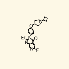 CCc1nc2cnc(F)cc2c(=O)n1-c1ccc(OC2CCN(C3CCC3)CC2)cc1